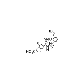 COc1c(CCC(C)(C)C)cccc1-c1csc(NC(=O)c2cc(F)c(C=C(C)C(=O)O)c(F)c2)n1